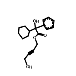 O=C(OCC#CCO)C(O)(c1ccccc1)C1CCCCC1